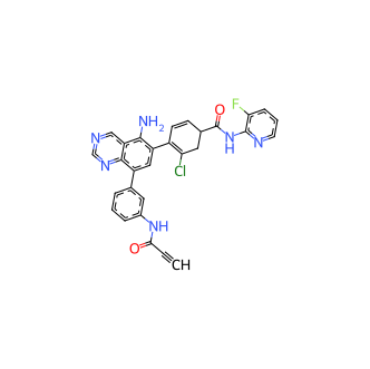 C#CC(=O)Nc1cccc(-c2cc(C3=C(Cl)CC(C(=O)Nc4ncccc4F)C=C3)c(N)c3cncnc23)c1